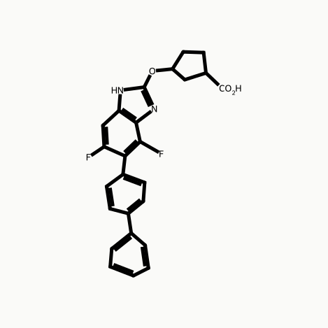 O=C(O)C1CCC(Oc2nc3c(F)c(-c4ccc(-c5ccccc5)cc4)c(F)cc3[nH]2)C1